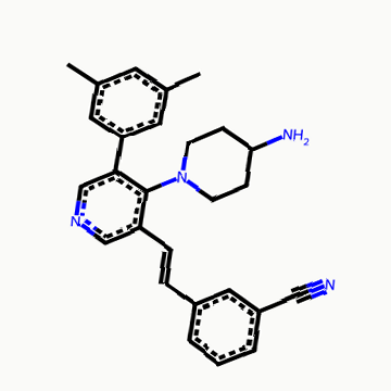 Cc1cc(C)cc(-c2cncc(/C=C/c3cccc(C#N)c3)c2N2CCC(N)CC2)c1